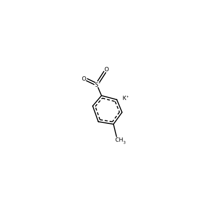 Cc1ccc([S-](=O)=O)cc1.[K+]